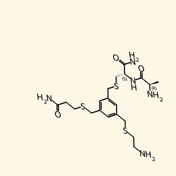 C[C@@H](N)C(=O)N[C@H](CSCc1cc(CSCCN)cc(CSCCC(N)=O)c1)C(N)=O